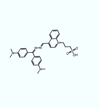 CN(C)c1ccc(C(=NN=Cc2cc[n+](CCCS(=O)(=O)O)c3ccccc23)c2ccc(N(C)C)cc2)cc1